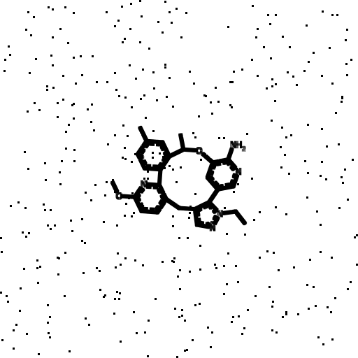 CCn1ncc2c1-c1cnc(N)c(c1)OC(C)c1cc(C)ccc1-c1nc(OC)ccc1C2